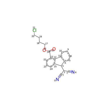 N#CC(C#N)C1c2ccccc2-c2c(C(=O)OCCCCCl)cccc21